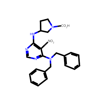 O=C(O)N1CCC(Nc2ncnc(N(Cc3ccccc3)Cc3ccccc3)c2[N+](=O)[O-])C1